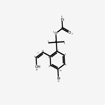 CCC(=O)OC(C)(C)c1ccc(Br)cc1/C=C\O